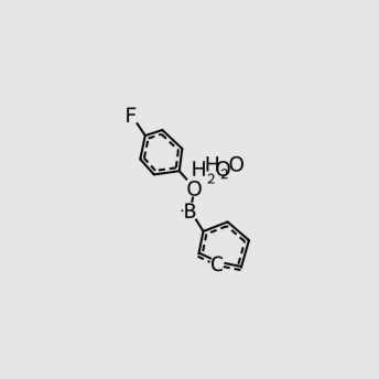 Fc1ccc(O[B]c2ccccc2)cc1.O.O